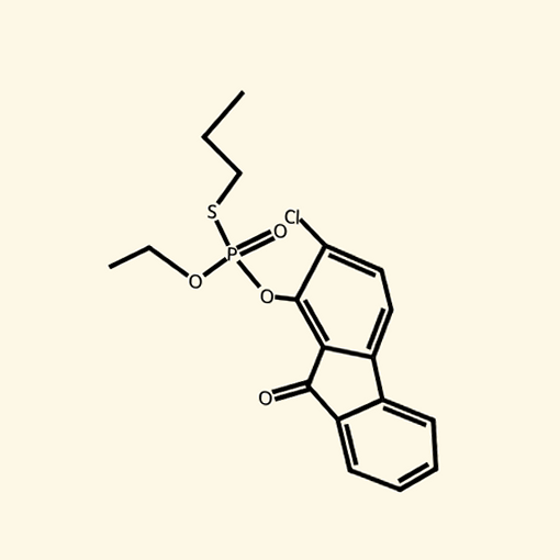 CCCSP(=O)(OCC)Oc1c(Cl)ccc2c1C(=O)c1ccccc1-2